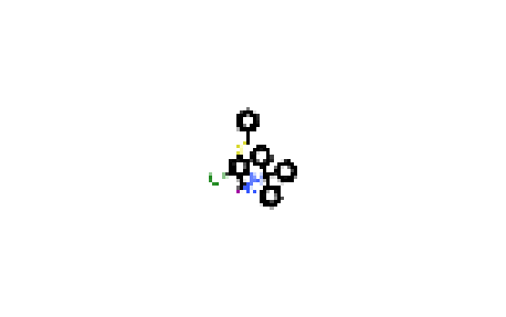 Clc1cc(SCc2ccccc2)cc2c1c(I)nn2C(c1ccccc1)(c1ccccc1)c1ccccc1